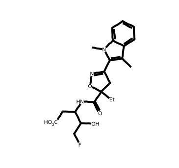 CCC1(C(=O)NC(CC(=O)O)C(O)CF)CC(c2c(C)c3ccccc3n2C)=NO1